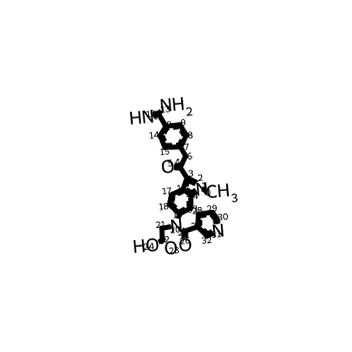 Cn1cc(C(=O)Cc2ccc(C(=N)N)cc2)c2ccc(N(CC(=O)O)C(=O)c3cccnc3)cc21